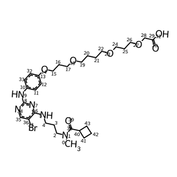 CN(CCCNc1nc(Nc2ccc(OCCCOCCCCOCCCOCC(=O)O)cc2)ncc1Br)C(=O)C1CCC1